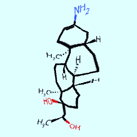 C[C@H](O)[C@@]1(O)CC[C@H]2[C@@H]3CC[C@H]4CC(N)=CC[C@]4(C)[C@H]3CC[C@@]21C